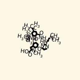 CN(C)CCNc1nccc(Oc2cccc3cc(C(=O)O)n(C)c23)n1.COc1c(NS(C)(=O)=O)cc(C(C)(C)C)cc1C(N)=O